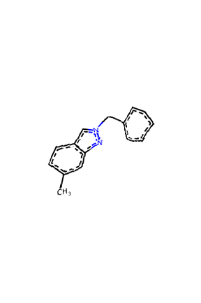 Cc1ccc2cn(Cc3ccccc3)nc2c1